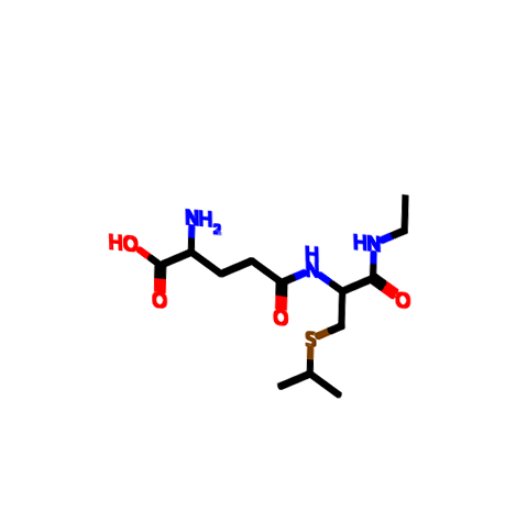 CCNC(=O)C(CSC(C)C)NC(=O)CCC(N)C(=O)O